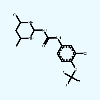 CC1CC(Cl)NC(NC(=O)Nc2ccc(OC(F)(F)F)c(Cl)c2)N1